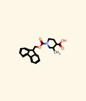 CC1CN(C(=O)OCC2c3ccccc3-c3ccccc32)CCC1C(=O)O